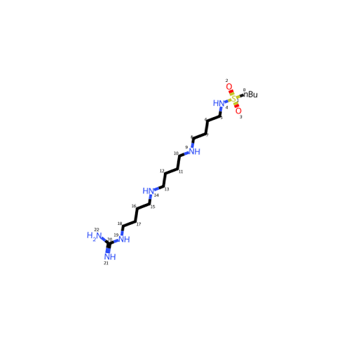 CCCCS(=O)(=O)NCCCCNCCCCNCCCCNC(=N)N